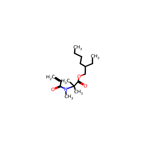 C=CC(=O)N(C)C(C)(C)C(=O)OCC(CC)CCCC